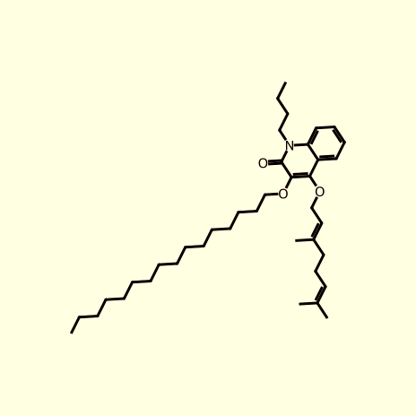 CCCCCCCCCCCCCCCCOc1c(OC/C=C(\C)CCC=C(C)C)c2ccccc2n(CCCC)c1=O